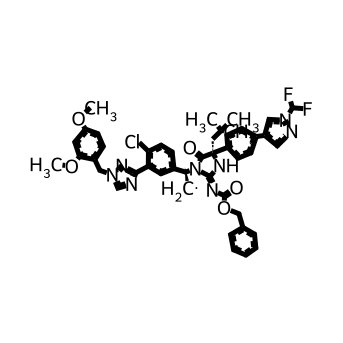 [CH2][C@@H](c1ccc(Cl)c(-c2ncn(Cc3ccc(OC)cc3OC)n2)c1)N1C(=O)[C@@](CC(C)(C)C)(c2ccc(-c3cnn(C(F)F)c3)cc2)NC1=NC(=O)OCc1ccccc1